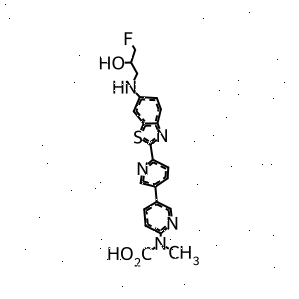 CN(C(=O)O)c1ccc(-c2ccc(-c3nc4ccc(NCC(O)CF)cc4s3)nc2)cn1